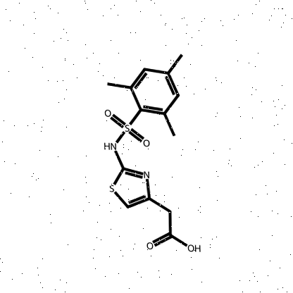 Cc1cc(C)c(S(=O)(=O)Nc2nc(CC(=O)O)cs2)c(C)c1